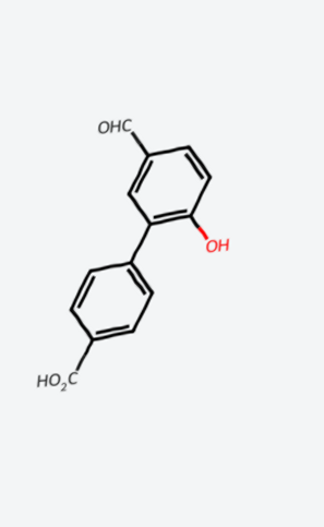 O=Cc1ccc(O)c(-c2ccc(C(=O)O)cc2)c1